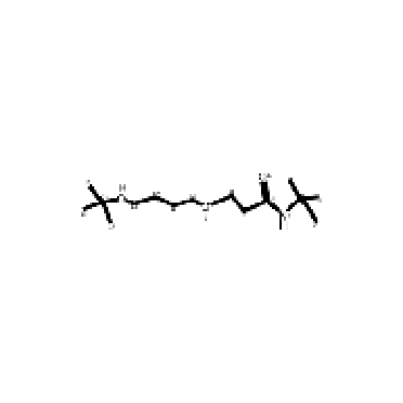 CC(C)(C)NC(=O)CCOCCCCOC(C)(C)C